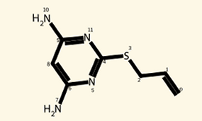 C=CCSc1nc(N)cc(N)n1